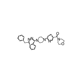 O=C(c1ccc(N2CCN(c3nnc(Cc4ccccc4)c4ccccc34)CC2)nc1)N1CCOCC1